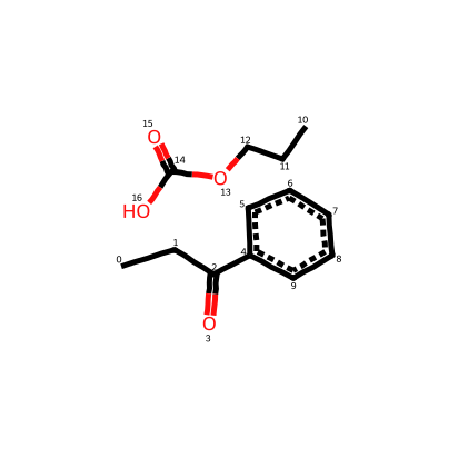 CCC(=O)c1ccccc1.CCCOC(=O)O